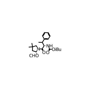 CC(C)COC(=O)N[C@H](C(=O)N1CC(C)(C)C[C@H]1C=O)C(C)c1ccccc1